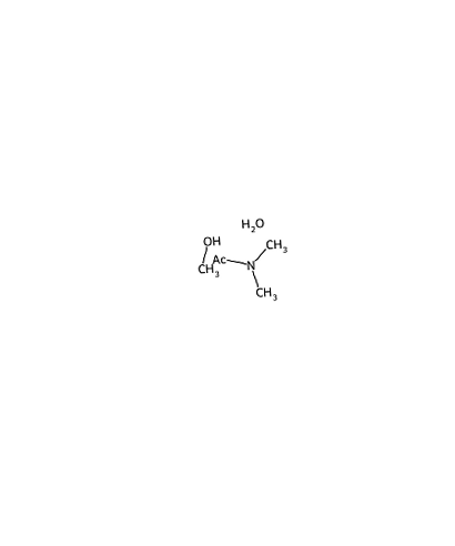 CC(=O)N(C)C.CO.O